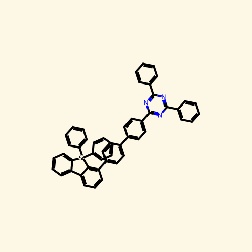 c1ccc(-c2nc(-c3ccccc3)nc(-c3ccc(-c4ccc(-c5cccc6c5[Si](c5ccccc5)(c5ccccc5)c5ccccc5-6)cc4)cc3)n2)cc1